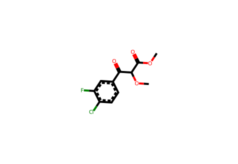 COC(=O)C(OC)C(=O)c1ccc(Cl)c(F)c1